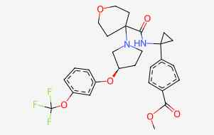 COC(=O)c1ccc(C2(NC(=O)C3(N4CC[C@@H](Oc5cccc(OC(F)(F)F)c5)C4)CCOCC3)CC2)cc1